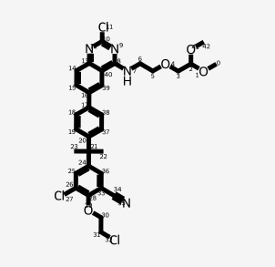 COC(COCCNc1nc(Cl)nc2ccc(-c3ccc(C(C)(C)c4cc(Cl)c(OCCCl)c(C#N)c4)cc3)cc12)OC